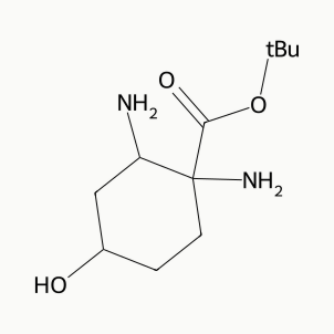 CC(C)(C)OC(=O)C1(N)CCC(O)CC1N